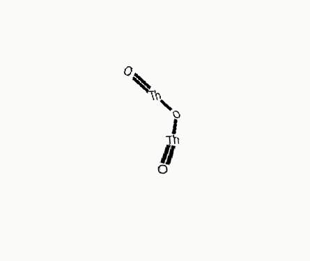 [O]=[Th][O][Th]=[O]